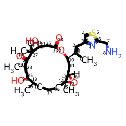 CC(=Cc1csc(CN)n1)[C@H]1C[C@@H]2O[C@@]2(C)CCC[C@@H](C)[C@@H](O)[C@H](C)C(=O)C(C)(C)[C@H](O)CC(=O)O1